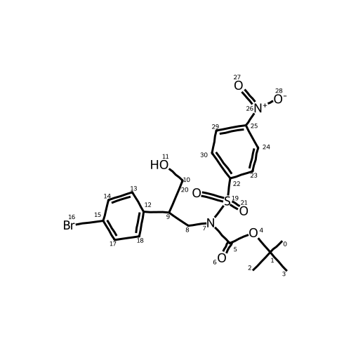 CC(C)(C)OC(=O)N(CC(CO)c1ccc(Br)cc1)S(=O)(=O)c1ccc([N+](=O)[O-])cc1